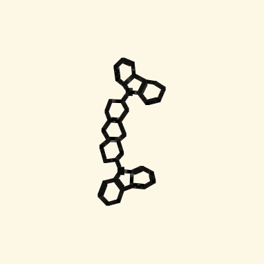 C1=CC2C3=C(C=CCC3)N(C3CCC4=C(CC5=C(CCC(n6c7c(c8ccccc86)CCC=C7)C5)C4)C3)C2C=C1